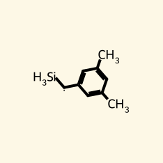 Cc1cc(C)cc([CH][SiH3])c1